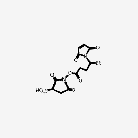 CCC(CCC(=O)ON1C(=O)CC(S(=O)(=O)O)C1=O)N1C(=O)C=CC1=O